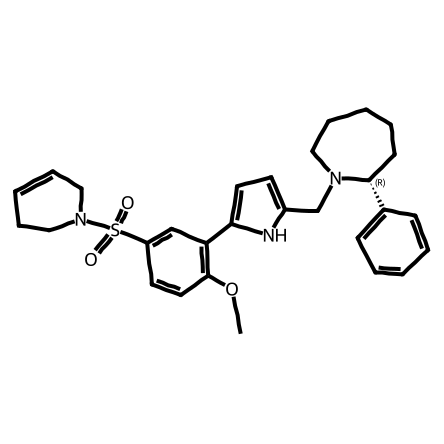 COc1ccc(S(=O)(=O)N2CC=CCC2)cc1-c1ccc(CN2CCCCC[C@@H]2c2ccccc2)[nH]1